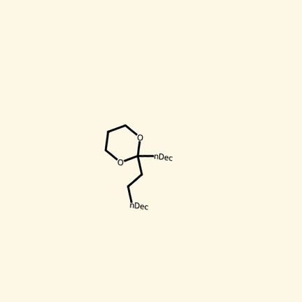 CCCCCCCCCCCCC1(CCCCCCCCCC)OCCCO1